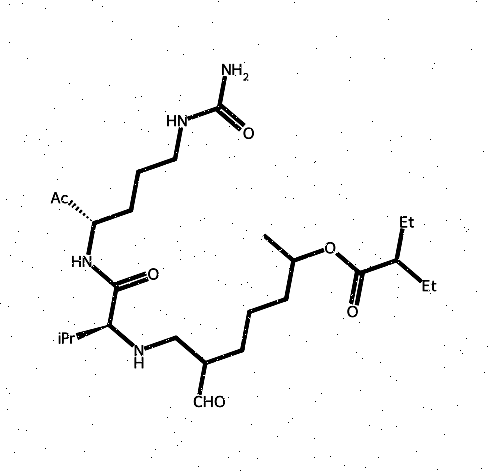 CCC(CC)C(=O)OC(C)CCCC(C=O)CN[C@H](C(=O)N[C@@H](CCCNC(N)=O)C(C)=O)C(C)C